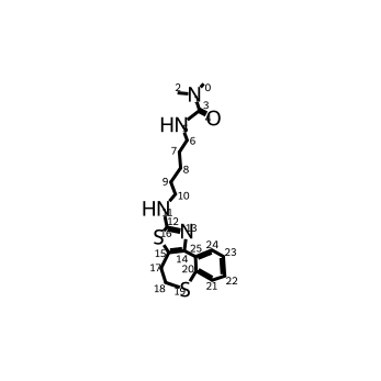 CN(C)C(=O)NCCCCCNc1nc2c(s1)CCSc1ccccc1-2